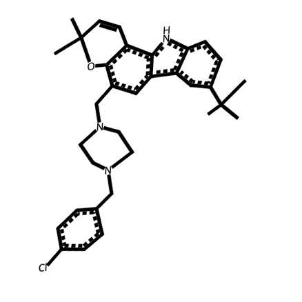 CC1(C)C=Cc2c(c(CN3CCN(Cc4ccc(Cl)cc4)CC3)cc3c2[nH]c2ccc(C(C)(C)C)cc23)O1